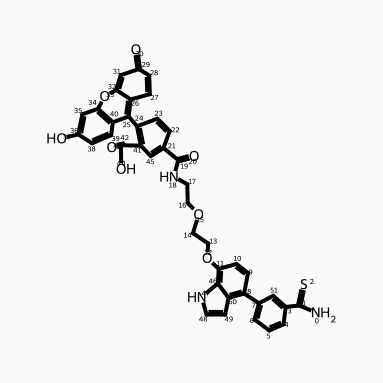 NC(=S)c1cccc(-c2ccc(OCCOCCNC(=O)c3ccc(-c4c5ccc(=O)cc-5oc5cc(O)ccc45)c(C(=O)O)c3)c3[nH]ccc23)c1